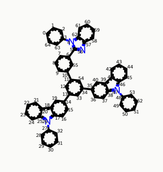 c1ccc(-n2c(-c3cccc(-c4cc(-c5ccc6c(c5)c5ccccc5n6-c5ccccc5)cc(-c5ccc6c(c5)c5ccccc5n6-c5ccccc5)c4)c3)nc3ccccc32)cc1